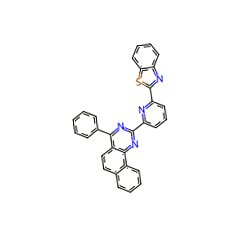 c1ccc(-c2nc(-c3cccc(-c4nc5ccccc5s4)n3)nc3c2ccc2ccccc23)cc1